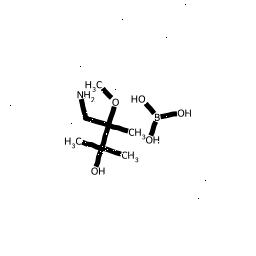 COC(C)(CN)C(C)(C)O.OB(O)O